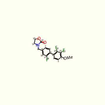 COc1ccc(-c2ccc(CN3CCOC3=O)cc2F)c(F)c1F